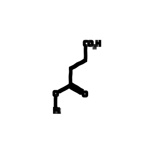 [CH2]COC(=O)CCC(=O)O